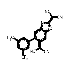 N#CC(C#N)=c1nc2cc(-c3cc(C(F)(F)F)cc(C(F)(F)F)c3)c(=C(C#N)C#N)cc2o1